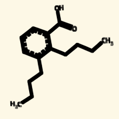 CCCCc1cccc(C(=O)O)c1CCCC